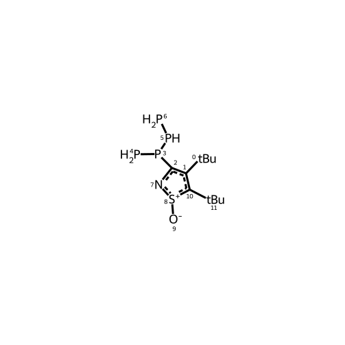 CC(C)(C)c1c(P(P)PP)n[s+]([O-])c1C(C)(C)C